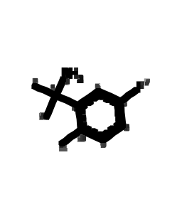 BC(C)(C)c1cc(F)ccc1C